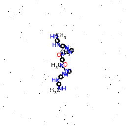 CNc1ccc(Nc2ccc(N=Nc3cccc[n+]3CCCN(C)C(=O)c3ccc(C(=O)N(C)CCC[n+]4ccccc4/N=N/c4ccc(Nc5ccc(NC)cc5)cc4)cc3)cc2)cc1